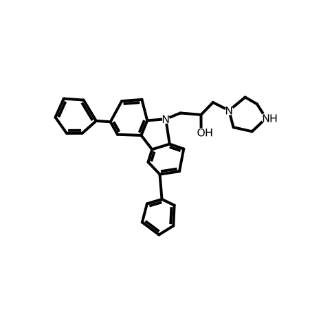 OC(CN1CCNCC1)Cn1c2ccc(-c3ccccc3)cc2c2cc(-c3ccccc3)ccc21